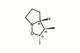 C[C@H]1[C@H](C)ON2CCC[C@H]12